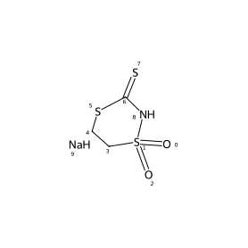 O=S1(=O)CCSC(=S)N1.[NaH]